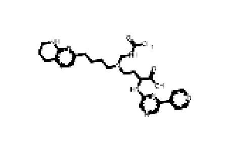 CC(=O)NCN(CCCCc1ccc2c(n1)NCCC2)CCC(Nc1cncc(-c2ccncc2)n1)C(=O)O